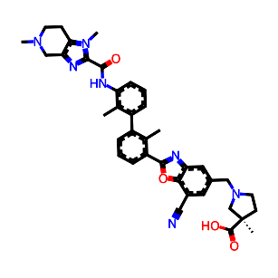 Cc1c(NC(=O)c2nc3c(n2C)CCN(C)C3)cccc1-c1cccc(-c2nc3cc(CN4CC[C@@](C)(C(=O)O)C4)cc(C#N)c3o2)c1C